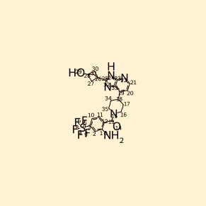 Nc1cc(S(F)(F)(F)(F)F)ccc1C(=O)N1CCC(c2ccnc3[nH]c(C45CC(O)(C4)C5)nc23)CC1